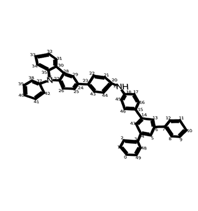 c1ccc(-c2cc(-c3ccccc3)cc(-c3ccc(Nc4ccc(-c5ccc6c(c5)c5ccccc5n6-c5ccccc5)cc4)cc3)c2)cc1